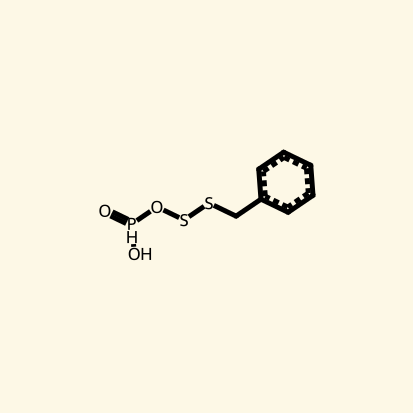 O=[PH](O)OSSCc1ccccc1